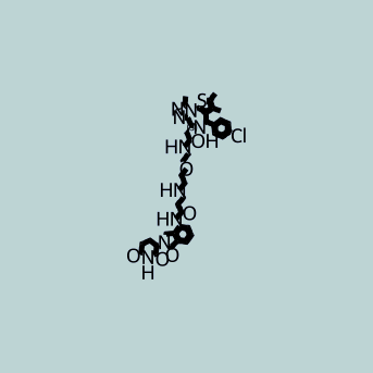 Cc1sc2c(c1C)C(c1ccc(Cl)cc1)=N[C@@H](CC(O)NCCOCCNCCC(=O)Nc1cccc3c1CN(C1CCC(=O)NC1=O)C3=O)c1nnc(C)n1-2